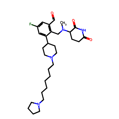 CN(Cc1c(C=O)cc(F)cc1C1CCN(CCCCCCCN2CCCC2)CC1)C1CCC(=O)NC1=O